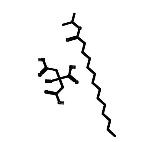 CCCCCCCCCCCCCC(=O)OC(C)C.O=C(O)CC(O)(CC(=O)O)C(=O)O